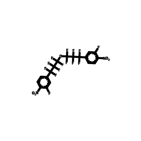 O=[N+]([O-])c1ccc(C(F)(F)C(F)(F)C(F)(F)OC(F)(F)C(F)(F)C(F)(F)c2ccc([N+](=O)[O-])c(F)c2)cc1F